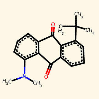 CN(C)c1cccc2c1C(=O)c1cccc(C(C)(C)C)c1C2=O